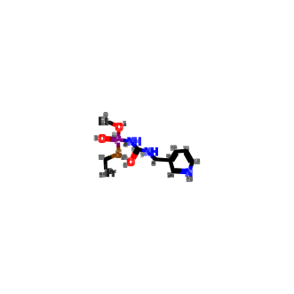 CCOP(=O)(NC(=O)NCc1cccnc1)SCC(C)C